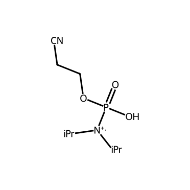 CC(C)[N+](C(C)C)P(=O)(O)OCCC#N